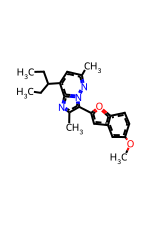 CCC(CC)c1cc(C)nn2c(-c3cc4cc(OC)ccc4o3)c(C)nc12